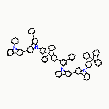 c1ccc(-c2cc(-c3ccc4c(c3)-c3ccccc3C4(c3ccccc3)c3ccc(-n4c5ccc(-c6ccccc6)cc5c5cc(-c6ccc7c8ccccc8n(-c8ccccc8)c7c6)ccc54)cc3)cc(-n3c4ccccc4c4ccc(-c5ccc6c(c5)c5ccccc5n6-c5ccc(C6(c7ccccc7)c7ccccc7-c7ccccc76)cc5)cc43)c2)cc1